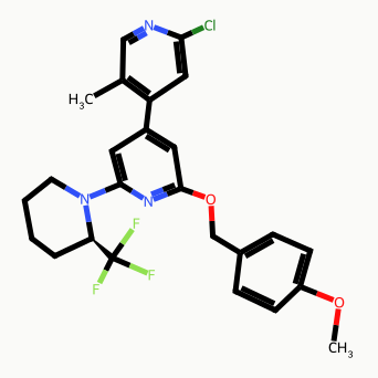 COc1ccc(COc2cc(-c3cc(Cl)ncc3C)cc(N3CCCC[C@@H]3C(F)(F)F)n2)cc1